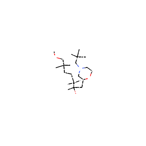 COCC(C)(C)CCC(C)(C)C(C)(O)CC1CN(CC(C)(C)C)CCO1